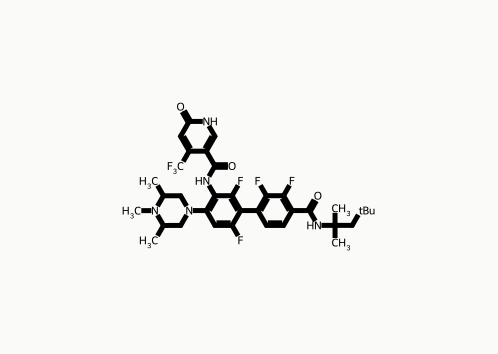 CC1CN(c2cc(F)c(-c3ccc(C(=O)NC(C)(C)CC(C)(C)C)c(F)c3F)c(F)c2NC(=O)c2c[nH]c(=O)cc2C(F)(F)F)CC(C)N1C